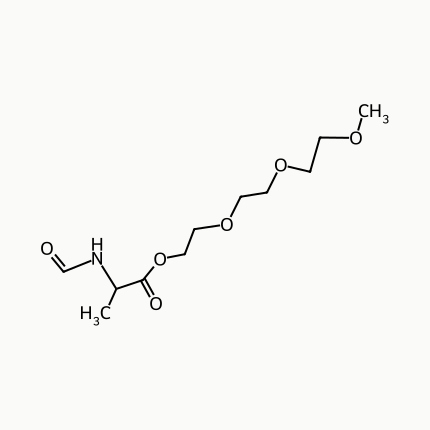 COCCOCCOCCOC(=O)C(C)NC=O